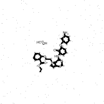 CCOC(=O)c1ccccc1OCCn1ccc2ncnc(Nc3cccc(Oc4cccc(N)c4)c3Cl)c21.Cl.Cl